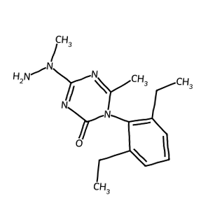 CCc1cccc(CC)c1-n1c(C)nc(N(C)N)nc1=O